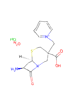 Cl.N[C@@H]1C(=O)N2CC(C[n+]3ccccc3)(C(=O)O)CS[C@H]12.O